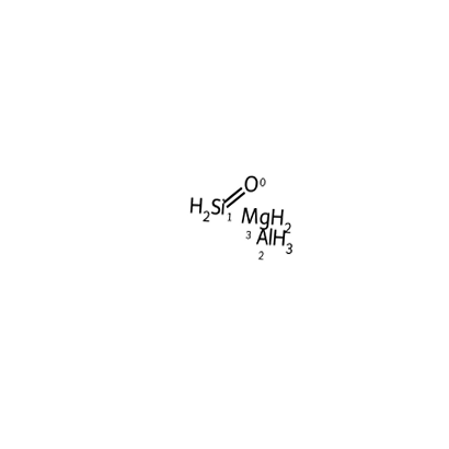 O=[SiH2].[AlH3].[MgH2]